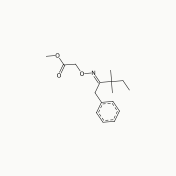 CCC(C)(C)/C(Cc1ccccc1)=N/OCC(=O)OC